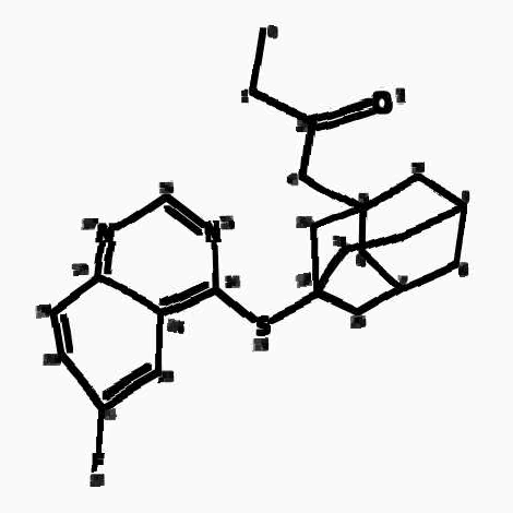 CCC(=O)CC12CC3CC(C1)CC(Sc1ncnc4ccc(F)cc14)(C3)C2